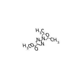 COC(=O)c1cnc(N2CC(C)OC(C)C2)nc1